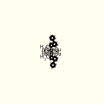 CCC[CH2][Zr]([CH2]CCC)([CH]1C(C)=Cc2c(-c3ccccc3)cccc21)[C](C)(C)[Zr]([CH2]CCC)([CH2]CCC)[CH]1C(C)=Cc2c(-c3ccccc3)cccc21